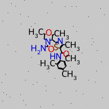 Cc1cc(C)c(NC(=O)c2sc(C3C(C)OC(C)CN3C(N)=O)nc2C)c(C)c1